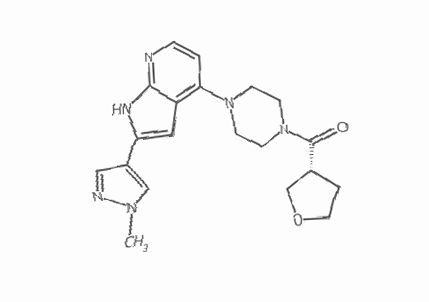 Cn1cc(-c2cc3c(N4CCN(C(=O)[C@@H]5CCOC5)CC4)ccnc3[nH]2)cn1